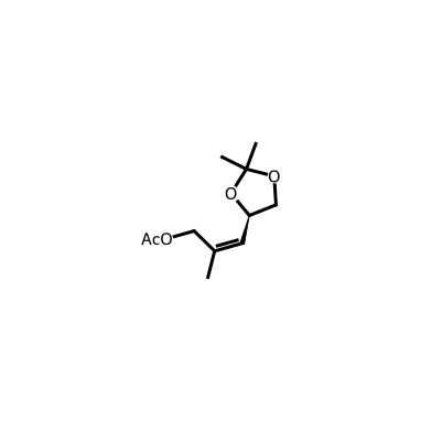 CC(=O)OCC(C)=C[C@@H]1COC(C)(C)O1